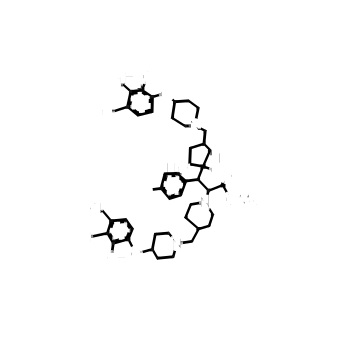 COC(=O)C(C(c1ccc(F)cc1)C1(O)CC(CN2CCC(Oc3ccc(Cl)c(Cl)c3C)CC2)CC1O)N1CCC(CN2CCC(Oc3ccc(Cl)c(Cl)c3C)CC2)CC1